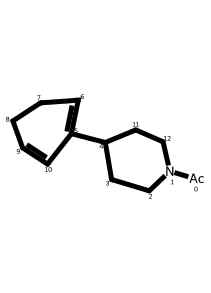 CC(=O)N1CCC(C2=CC[CH]C=C2)CC1